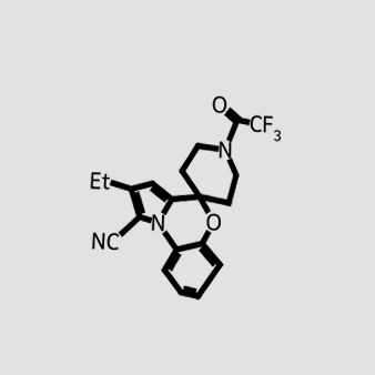 CCc1cc2n(c1C#N)-c1ccccc1OC21CCN(C(=O)C(F)(F)F)CC1